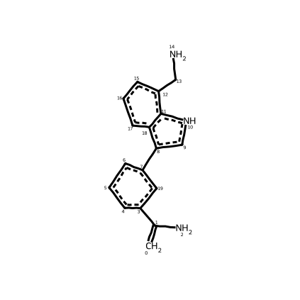 C=C(N)c1cccc(-c2c[nH]c3c(CN)cccc23)c1